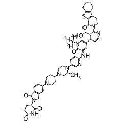 [2H]C([2H])([2H])n1cc(-c2ccnc(N3CCc4c(sc5c4CCCC5)C3=O)c2CO)cc(Nc2ccc(N3CCN(C4CCN(c5ccc6c(c5)CN(C5CCC(=O)NC5=O)C6=O)CC4)C[C@@H]3C)cn2)c1=O